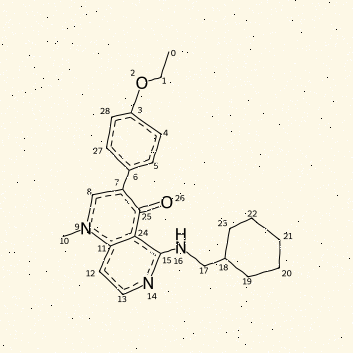 CCOc1ccc(-c2cn(C)c3ccnc(NCC4CCCCC4)c3c2=O)cc1